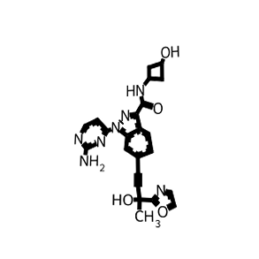 CC(O)(C#Cc1ccc2c(C(=O)NC3CC(O)C3)nn(-c3ccnc(N)n3)c2c1)c1ncco1